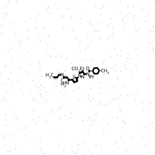 C\C=C/C=N\C(C)=C\C(=N)c1ccc(-n2cc(C(=O)OCC)c(N(C(=O)[C@H]3CC[C@H](C)CC3)C(C)C)n2)s1